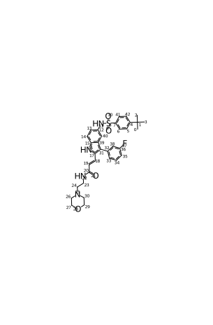 CC(C)(C)c1ccc(S(=O)(=O)Nc2ccc3[nH]c(/C=C/C(=O)NCCN4CCOCC4)c(-c4cccc(F)c4)c3c2)cc1